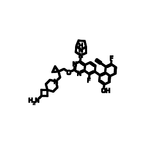 C#Cc1c(F)ccc2cc(O)cc(-c3ccc4c(N5CC6CCC(C5)N6)nc(OCC5(CN6CCC7(CC6)CC(N)C7)CC5)nc4c3F)c12